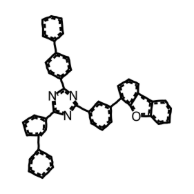 c1ccc(-c2ccc(-c3nc(-c4cccc(-c5ccccc5)c4)nc(-c4cccc(-c5cccc6c5oc5ccccc56)c4)n3)cc2)cc1